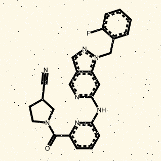 N#CC1CCN(C(=O)c2cccc(Nc3cc4c(cn3)cnn4Cc3ccccc3F)n2)C1